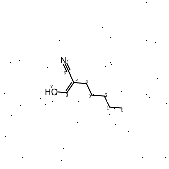 CCCCCC(C#N)=CO